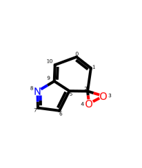 C1=CC2(OO2)C2=CC=NC2=C1